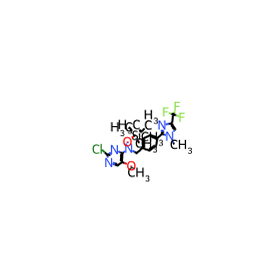 COc1cnc(Cl)nc1N(Cc1ccc(-c2nc(C(F)(F)F)cn2C)cc1)O[Si](C)(C)C(C)(C)C